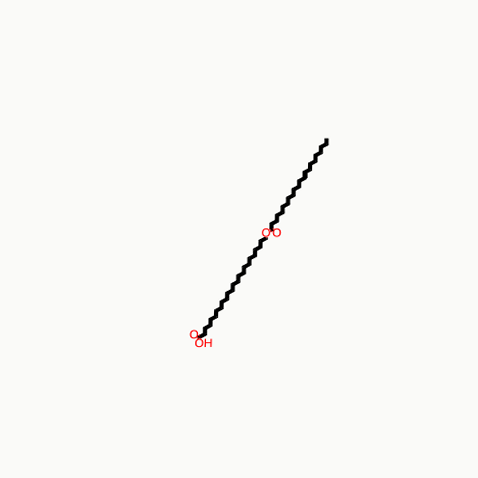 CCCCCCCCC=CCCCCCCCCCCCC(=O)OCCCCCCCCCCCCCCCCCCCCCCCC(=O)O